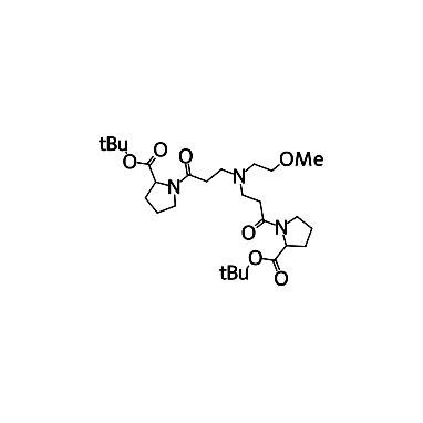 COCCN(CCC(=O)N1CCCC1C(=O)OC(C)(C)C)CCC(=O)N1CCCC1C(=O)OC(C)(C)C